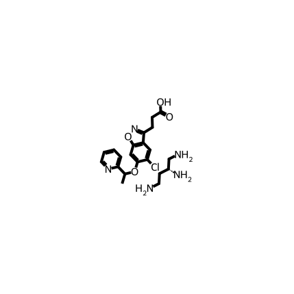 CC(Oc1cc2onc(CCC(=O)O)c2cc1Cl)c1ccccn1.NCC[C@@H](N)CN